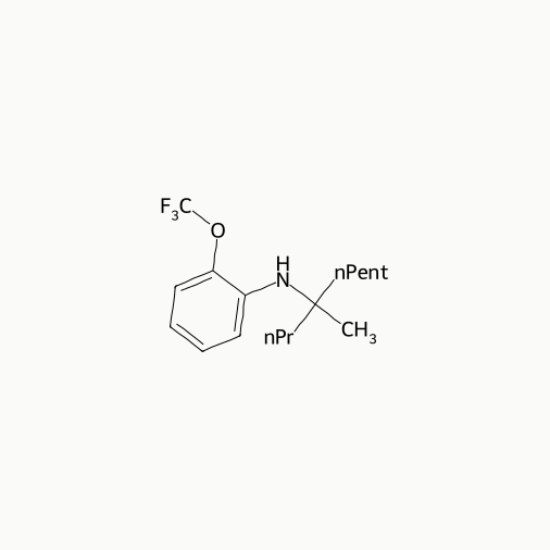 CCCCCC(C)(CCC)Nc1ccccc1OC(F)(F)F